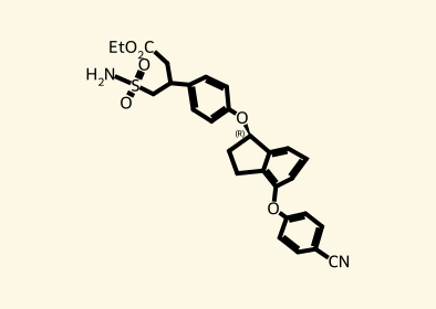 CCOC(=O)CC(CS(N)(=O)=O)c1ccc(O[C@@H]2CCc3c(Oc4ccc(C#N)cc4)cccc32)cc1